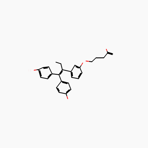 C=C(O)CCCOc1cccc(C(CC)=C(c2ccc(O)cc2)c2ccc(O)cc2)c1